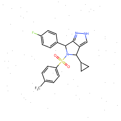 O=S(=O)(c1ccc(C(F)(F)F)cc1)N1C(c2ccc(F)cc2)c2n[nH]cc2C1C1CC1